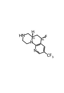 F[C@@H]1C[C@H]2CNCCN2c2ncc(C(F)(F)F)cc21